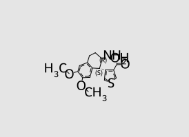 COc1cc2c(cc1OC)[C@@H](c1cscc1C(=O)O)[C@H](N)CC2